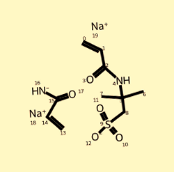 C=CC(=O)NC(C)(C)CS(=O)(=O)[O-].C=CC([NH-])=O.[Na+].[Na+]